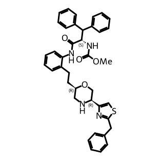 COC(=O)N[C@H](C(=O)Nc1ccccc1CC[C@@H]1CN[C@H](c2csc(Cc3ccccc3)n2)CO1)C(c1ccccc1)c1ccccc1